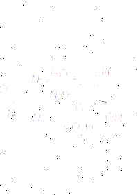 O=C(O)C[C@@]1(n2cnc3c(O)ncnc32)O[C@H](CO)[C@@H](O)[C@H]1O